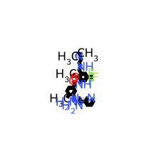 COc1c(CNCCN(C)C)cc(C(F)(F)F)cc1NC(=O)C1=CCC(C)C(N(N)/C=C(\N)c2cccnc2)=C1